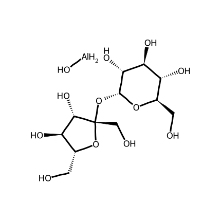 OC[C@H]1O[C@@](CO)(O[C@H]2O[C@H](CO)[C@@H](O)[C@H](O)[C@H]2O)[C@@H](O)[C@@H]1O.[OH][AlH2]